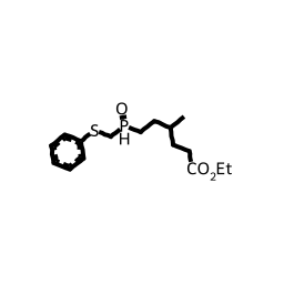 CCOC(=O)CCC(C)CC[PH](=O)CSc1ccccc1